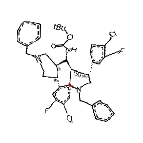 CC(C)(C)OC(=O)NC([C@@H]1CN(Cc2ccccc2)C[C@H]1c1ccc(Cl)c(F)c1)[C@@H]1CN(Cc2ccccc2)C[C@H]1c1ccc(Cl)c(F)c1